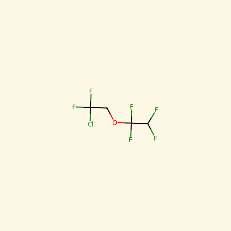 FC(F)C(F)(F)OCC(F)(F)Cl